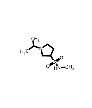 CNS(=O)(=O)C1CCN(C(C)C)C1